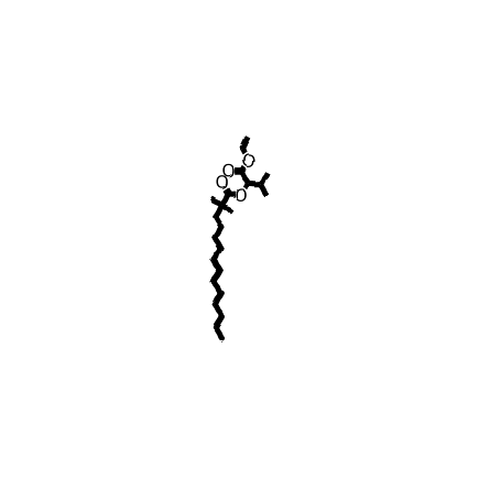 CCCCCCCCCCCCC(C)(C)C(=O)OC(C(=O)OCC)C(C)C